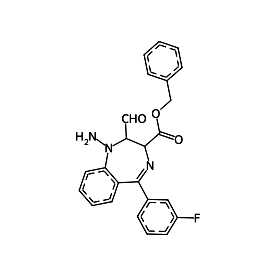 NN1c2ccccc2C(c2cccc(F)c2)=NC(C(=O)OCc2ccccc2)C1C=O